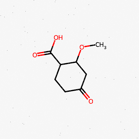 COC1CC(=O)CCC1C(=O)O